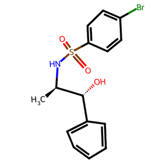 C[C@@H](NS(=O)(=O)c1ccc(Br)cc1)[C@H](O)c1ccccc1